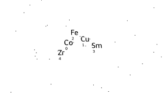 [Co].[Cu].[Fe].[Sm].[Zr]